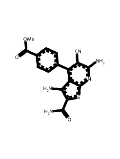 COC(=O)c1ccc(-c2c(C#N)c(N)nc3sc(C(N)=O)c(N)c23)cc1